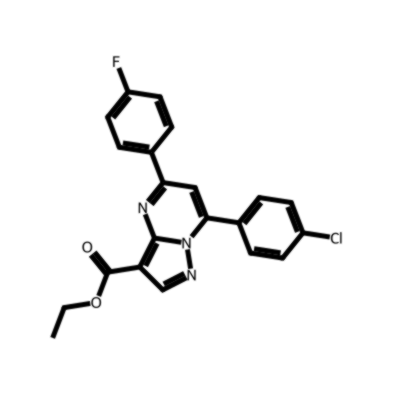 CCOC(=O)c1cnn2c(-c3ccc(Cl)cc3)cc(-c3ccc(F)cc3)nc12